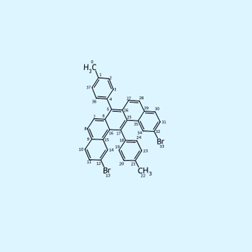 Cc1ccc(-c2c3ccc4ccc(Br)cc4c3c(-c3ccc(C)cc3)c3c2ccc2ccc(Br)cc23)cc1